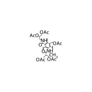 CC(=O)OCc1c(I)c(NC(=O)C(COC(C)=O)C(C)OC(C)=O)c(I)c(C(=O)NCC(COC(C)=O)OC(C)=O)c1I